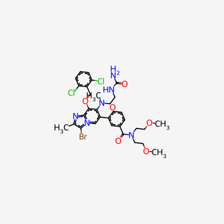 COCCN(CCOC)C(=O)c1cccc(-c2cn3c(Br)c(C)nc3c(OCc3c(Cl)cccc3Cl)c2N(C)C(=O)CNC(N)=O)c1